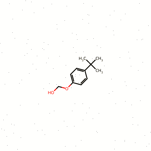 CC(C)(C)c1ccc(OCO)cc1